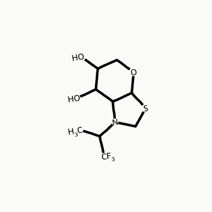 CC(N1CSC2OCC(O)C(O)C21)C(F)(F)F